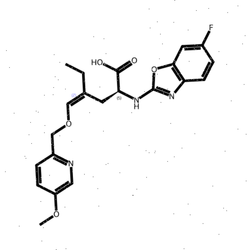 CC/C(=C/OCc1ccc(OC)cn1)C[C@H](Nc1nc2ccc(F)cc2o1)C(=O)O